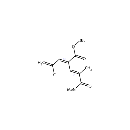 C=C(Cl)/C=C(\C=C(/C)C(=O)NC)C(=O)OC(C)(C)C